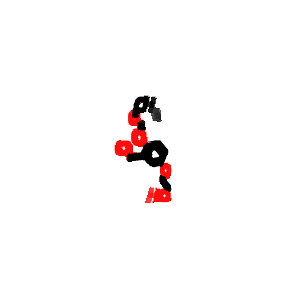 COCOc1ccc(OCCO)cc1C=O